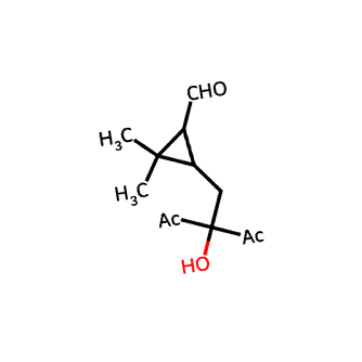 CC(=O)C(O)(CC1C(C=O)C1(C)C)C(C)=O